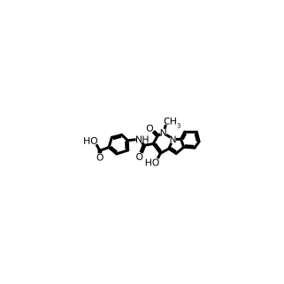 Cn1c(=O)c(C(=O)Nc2ccc(C(=O)O)cc2)c(O)c2cc3ccccc3n21